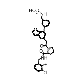 O=C(O)NCc1cccc(-c2cc(CC(=O)N3CCCC3C(=O)NCc3cccc(Cl)c3F)cc3ccoc23)c1